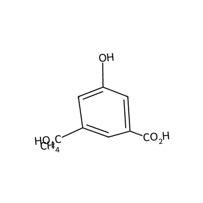 C.O=C(O)c1cc(O)cc(C(=O)O)c1